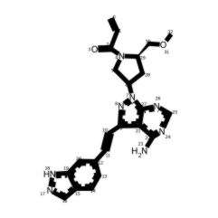 C=CC(=O)N1CC(n2nc(C#Cc3ccc4cn[nH]c4c3)c3c(N)ncnc32)C[C@@H]1COC